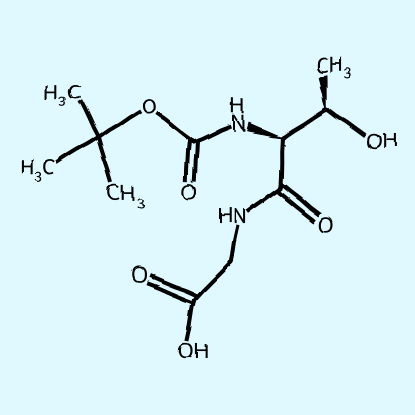 C[C@@H](O)[C@H](NC(=O)OC(C)(C)C)C(=O)NCC(=O)O